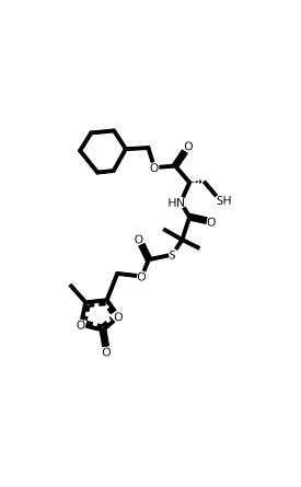 Cc1oc(=O)oc1COC(=O)SC(C)(C)C(=O)N[C@@H](CS)C(=O)OCC1CCCCC1